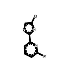 CCc1csc(-c2cccc(Br)n2)n1